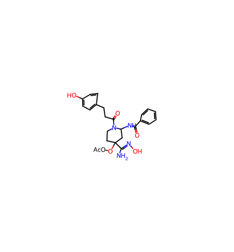 CC(=O)OOC1(C(N)=NO)CCN(C(=O)CCc2ccc(O)cc2)C(NC(=O)c2ccccc2)C1